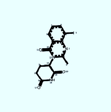 Cc1nc2c(I)cccc2c(=O)n1C1CCC(=O)NC1=O